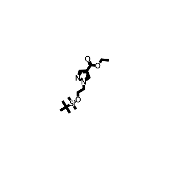 CCOC(=O)c1cnn(CCO[Si](C)(C)C(C)(C)C)c1